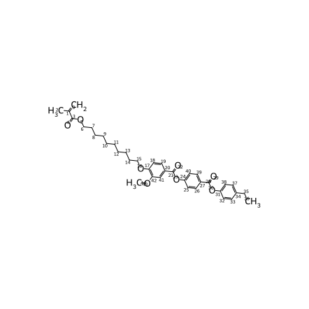 C=C(C)C(=O)OCCCCCCCCCCOc1ccc(C(=O)Oc2ccc(C(=O)Oc3ccc(CC)cc3)cc2)cc1OC